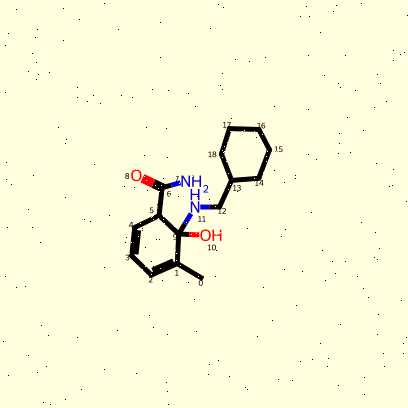 CC1=CC=CC(C(N)=O)C1(O)NCC1CCCCC1